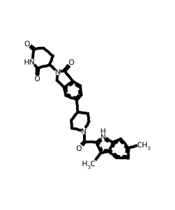 Cc1ccc2c(C)c(C(=O)N3CCC(c4ccc5c(c4)CN(C4CCC(=O)NC4=O)C5=O)CC3)[nH]c2c1